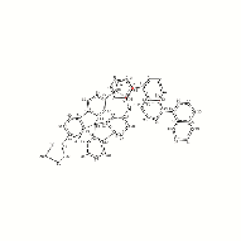 c1ccc(-c2ccccc2N(c2ccc(-c3cccc4ccccc34)cc2)c2ccc3c(c2)C2(c4ccccc4-3)c3cc(C4CCCC4)ccc3-c3ccc(C4CCCC4)cc32)cc1